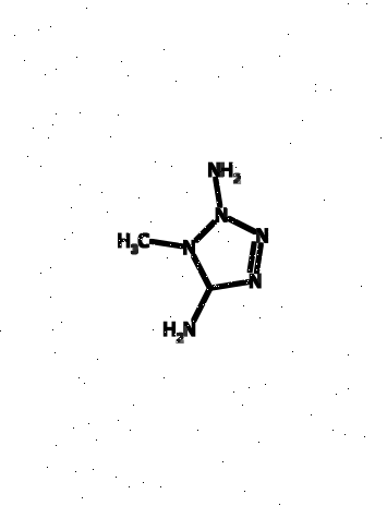 CN1C(N)N=NN1N